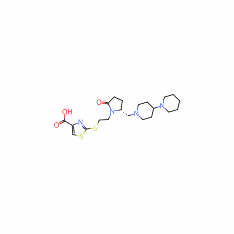 O=C(O)c1csc(SCCN2C(=O)CC[C@@H]2CN2CCC(N3CCCCC3)CC2)n1